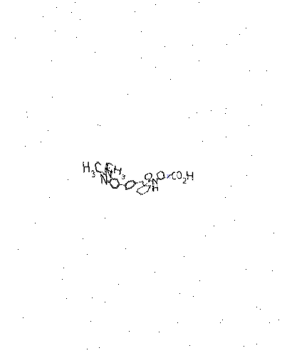 Cc1nc2ccc(-c3ccc(CC4(C(=O)Nc5cccc(/C=C/C(=O)O)c5)CCCCC4)cc3)cc2n1C